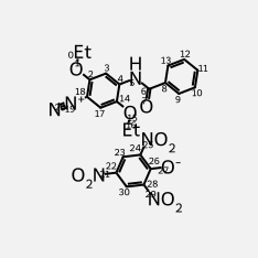 CCOc1cc(NC(=O)c2ccccc2)c(OCC)cc1[N+]#N.O=[N+]([O-])c1cc([N+](=O)[O-])c([O-])c([N+](=O)[O-])c1